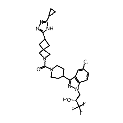 O=C(N1CCC(c2nn(C[C@@H](O)C(F)(F)F)c3ccc(Cl)cc23)CC1)N1CC2(CC(c3nnc(C4CC4)[nH]3)C2)C1